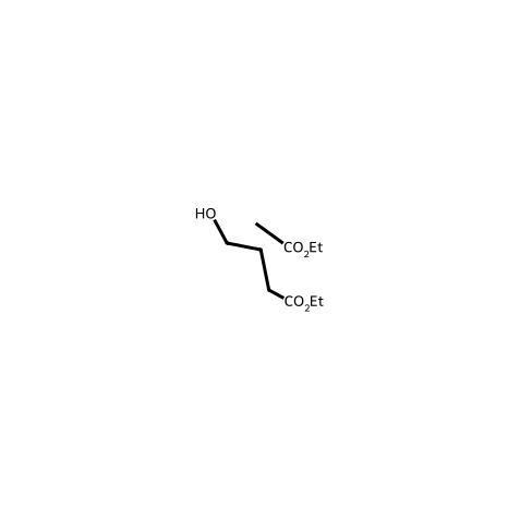 CCOC(=O)CCCO.CCOC(C)=O